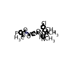 COc1cc(F)ccc1C(=O)/C=C/C(=O)N1CCN(C(=O)C[C@@H]2N=C(c3ccc(Cl)cc3)c3c(sc(C)c3C)-n3c(C)nnc32)CC1